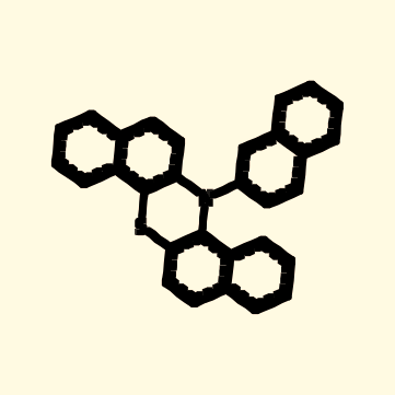 c1ccc2cc(N3c4ccc5ccccc5c4Sc4ccc5ccccc5c43)ccc2c1